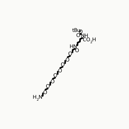 CC(C)(C)OC(=O)N[C@@H](CCCCNC(=O)CCOCCOCCOCCOCCOCCOCCOCCOCCN)C(=O)O